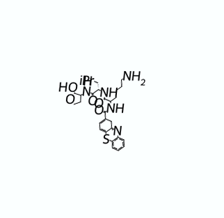 CC(C)C[C@H](NC(=O)C(CCCCN)NC(=O)C1=CC=C2Sc3ccccc3N=C2C1)C(=O)N[C@H]1CCOC1O